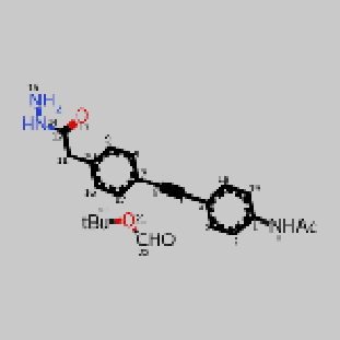 CC(=O)Nc1ccc(C#Cc2ccc(CC(=O)NN)cc2)cc1.CC(C)(C)OC=O